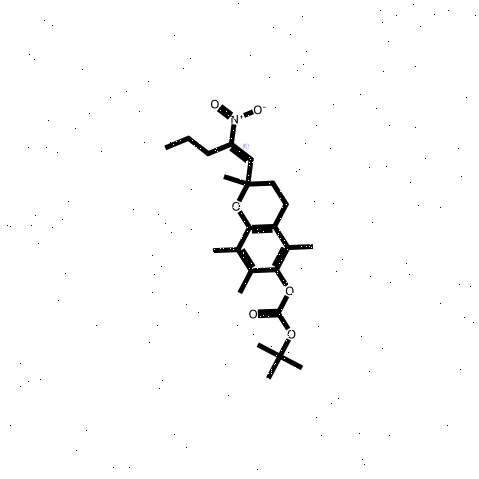 CCC/C(=C\C1(C)CCc2c(C)c(OC(=O)OC(C)(C)C)c(C)c(C)c2O1)[N+](=O)[O-]